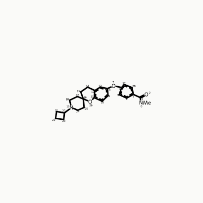 CNC(=O)c1ccc(Oc2ccc3c(c2)CCC2(CCN(C4CCC4)CC2)O3)cc1